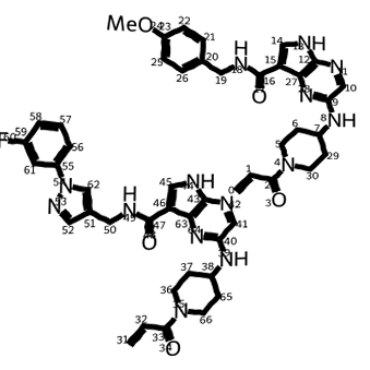 C=CC(=O)N1CCC(Nc2cnc3[nH]cc(C(=O)NCc4ccc(OC)cc4)c3n2)CC1.C=CC(=O)N1CCC(Nc2cnc3[nH]cc(C(=O)NCc4cnn(-c5cccc(F)c5)c4)c3n2)CC1